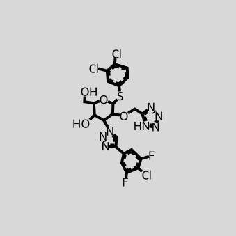 OCC1OC(Sc2ccc(Cl)c(Cl)c2)C(OCc2nnn[nH]2)C(n2cc(-c3cc(F)c(Cl)c(F)c3)nn2)C1O